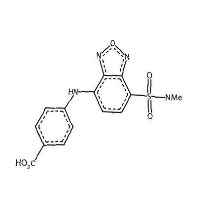 CNS(=O)(=O)c1ccc(Nc2ccc(C(=O)O)cc2)c2nonc12